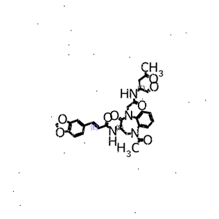 CC(=O)C[C@@H](C=O)NC(=O)CN1C(=O)[C@@H](NC(=O)/C=C/c2ccc3c(c2)OCO3)CN(C(C)=O)c2ccccc21